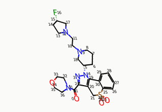 O=C(c1nn([C@H]2CCCN(CCN3CC[C@H](F)C3)C2)c2c1CS(=O)(=O)c1ccccc1-2)N1CCOCC1